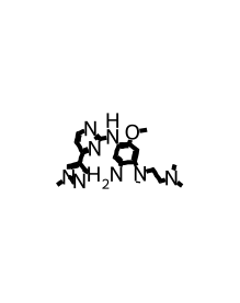 COc1cc(N(C)CCN(C)C)c(N)cc1Nc1nccc(-c2cnn(C)c2)n1